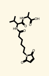 CC(NC(=O)C(NC(=O)CCCCCN1C(=O)C=CC1=O)C(C)C)C(=O)O